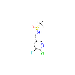 CC(C)(C)[S+]([O-])NCc1cnc(Cl)c(F)c1